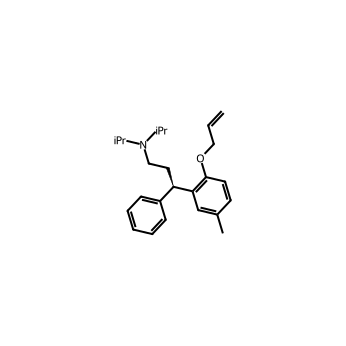 C=CCOc1ccc(C)cc1[C@H](CCN(C(C)C)C(C)C)c1ccccc1